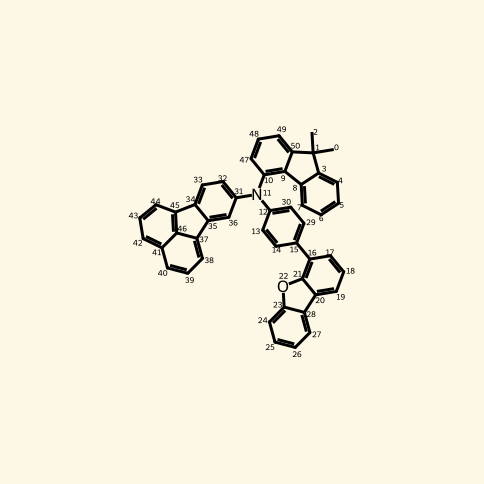 CC1(C)c2ccccc2-c2c(N(c3ccc(-c4cccc5c4oc4ccccc45)cc3)c3ccc4c(c3)-c3cccc5cccc-4c35)cccc21